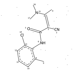 C/C(=C(\C#N)C(=O)Nc1c(C)cccc1Cl)N(C)C